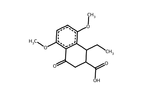 CCC1c2c(OC)ccc(OC)c2C(=O)CC1C(=O)O